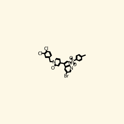 Cc1ccc(S(=O)(=O)n2cc(-c3ccn(Cc4ccc(Cl)c(Cl)c4)c(=O)c3)c3cc(Br)cnc32)cc1